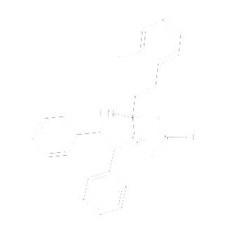 O=C(OC1(CCc2ccccc2F)NC(c2ccccc2)C(c2ccccc2)N1)C(F)(F)F